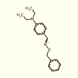 CCN(CC)c1ccc(/C=N/OCc2ccccc2)cc1